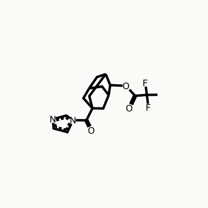 CC(F)(F)C(=O)OC1C2CC3CC1CC(C(=O)n1ccnc1)(C3)C2